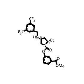 CC[C@@H]1C[C@H](NCc2cc(C(F)(F)F)cc(C(F)(F)F)c2)CN1C(=O)Oc1cccc(C(=O)OC)c1